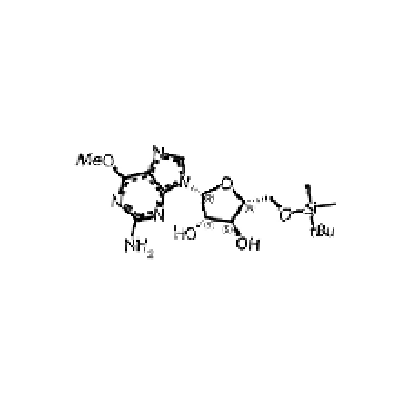 COc1nc(N)nc2c1ncn2[C@@H]1O[C@H](CO[Si](C)(C)C(C)(C)C)[C@@H](O)[C@@H]1O